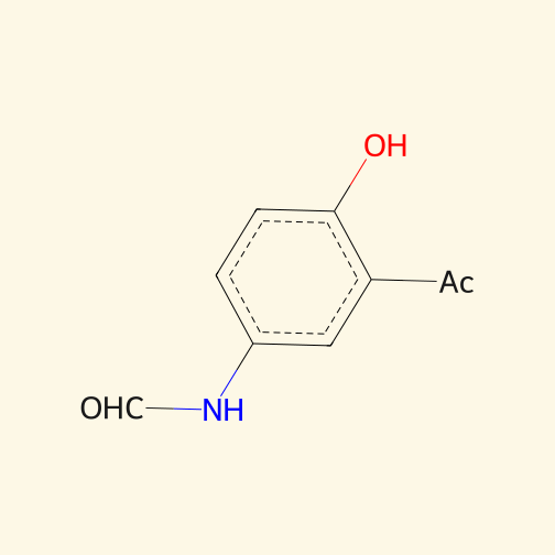 CC(=O)c1cc(NC=O)ccc1O